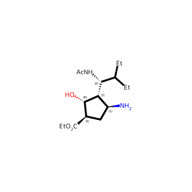 CCOC(=O)[C@@H]1C[C@H](N)[C@@H]([C@H](NC(C)=O)C(CC)CC)[C@H]1O